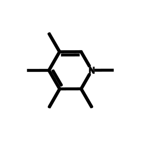 CC1=CN(C)C(C)C(C)=C1C